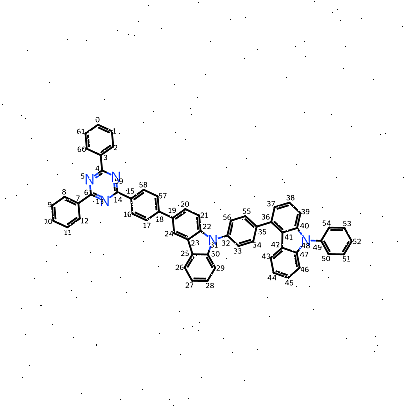 c1ccc(-c2nc(-c3ccccc3)nc(-c3ccc(-c4ccc5c(c4)c4ccccc4n5-c4ccc(-c5cccc6c5c5ccccc5n6-c5ccccc5)cc4)cc3)n2)cc1